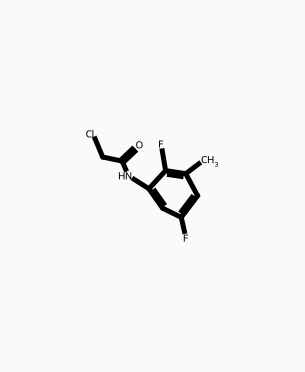 Cc1cc(F)cc(NC(=O)CCl)c1F